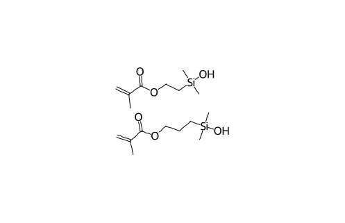 C=C(C)C(=O)OCCC[Si](C)(C)O.C=C(C)C(=O)OCC[Si](C)(C)O